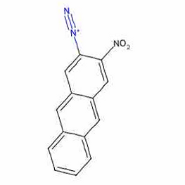 N#[N+]c1cc2cc3ccccc3cc2cc1[N+](=O)[O-]